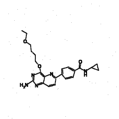 CCOCCCCOc1nc(N)nc2ccc(-c3ccc(C(=O)NC4CC4)cc3)nc12